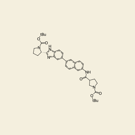 CC(C)(C)OC(=O)N1CCC(C(=O)Nc2ccc3cc(-c4ccc5[nH]c([C@@H]6CCCN6C(=O)OC(C)(C)C)nc5c4)ccc3c2)C1